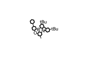 Cc1cc2c3c(c1)-n1c4ccc(C(C)(C)C)cc4c4cc(C(C)(C)C)cc(c41)B3c1cc(-c3ccccc3)ccc1O2